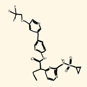 CCC(C(=O)Nc1ccc(-c2cncc(OCC(F)(F)F)c2)cn1)c1ccnc(NS(=O)(=O)C2CC2)n1